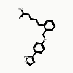 O=C(O)CCCCc1ccccc1COc1ccc(-c2ccn[nH]2)cc1